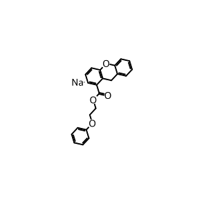 O=C(OCCOc1ccccc1)c1cccc2c1Cc1ccccc1O2.[Na]